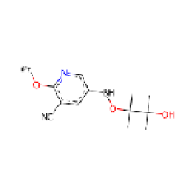 CC(C)Oc1ncc(BOC(C)(C)C(C)(C)O)cc1C#N